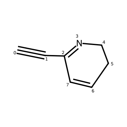 C#CC1=NCCC=C1